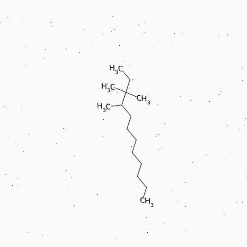 C[CH]C(C)(C)C(C)CCCCCCCC